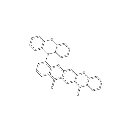 O=c1c2ccccc2oc2cc3oc4c(N5c6ccccc6Oc6ccccc65)cccc4c(=O)c3cc12